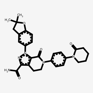 CC1(C)Cc2cc(-n3nc(C(N)=O)c4c3C(=O)N(c3ccc(N5CCCCC5=O)cc3)CC4)ccc2O1